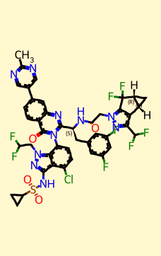 Cc1ncc(-c2ccc3c(=O)n(-c4ccc(Cl)c5c(NS(=O)(=O)C6CC6)nn(CC(F)F)c45)c([C@H](Cc4cc(F)cc(F)c4)NC(=O)Cn4nc(C(F)F)c5c4C(F)(F)[C@@H]4C[C@H]54)nc3c2)cn1